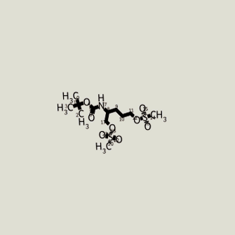 CC(C)(C)OC(=O)NC(CCCOS(C)(=O)=O)COS(C)(=O)=O